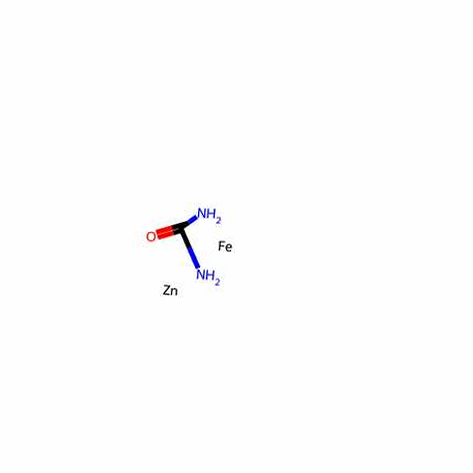 NC(N)=O.[Fe].[Zn]